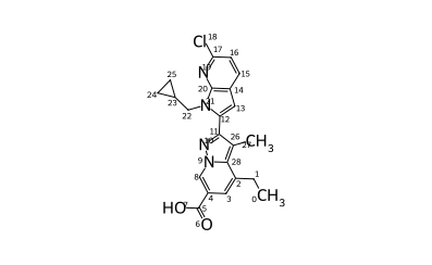 CCc1cc(C(=O)O)cn2nc(-c3cc4ccc(Cl)nc4n3CC3CC3)c(C)c12